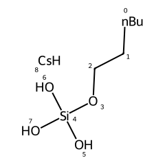 CCCCCCO[Si](O)(O)O.[CsH]